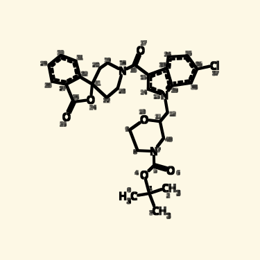 CC(C)(C)OC(=O)N1CCOC(Cn2cc(C(=O)N3CCC4(CC3)OC(=O)c3ccccc34)c3ccc(Cl)cc32)C1